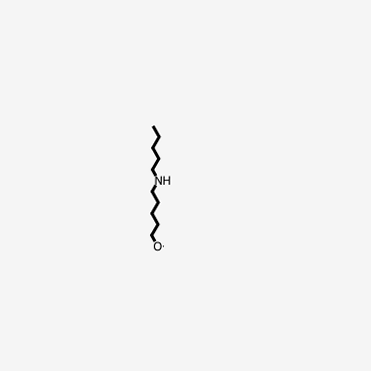 CCCCCNCCCCC[O]